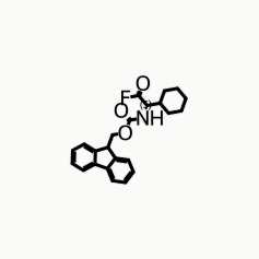 O=C(N[C@H](C(=O)F)C1CCCCC1)OCC1c2ccccc2-c2ccccc21